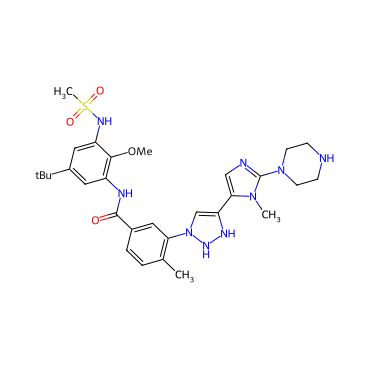 COc1c(NC(=O)c2ccc(C)c(N3C=C(c4cnc(N5CCNCC5)n4C)NN3)c2)cc(C(C)(C)C)cc1NS(C)(=O)=O